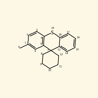 Cc1ccc2c(c1)C1(CCCCC1)c1ccccc1S2